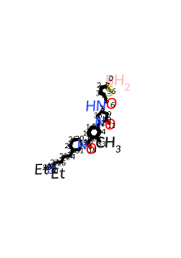 Bc1ccc(C(=O)NC2CC(=O)N(c3ccc(C(=O)N4CCCC(CCCCN(CC)CC)C4)c(C)c3)C2)s1